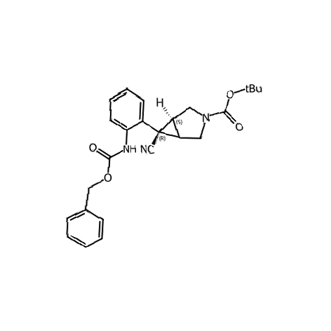 CC(C)(C)OC(=O)N1CC2[C@H](C1)[C@@]2(C#N)c1ccccc1NC(=O)OCc1ccccc1